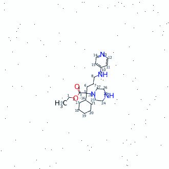 CCOC(=O)C(CCCNc1ccncc1)(C1CCCCC1)N1CCNCC1